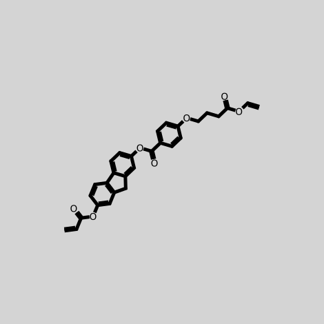 C=COC(=O)CCCOc1ccc(C(=O)Oc2ccc3c(c2)Cc2cc(OC(=O)C=C)ccc2-3)cc1